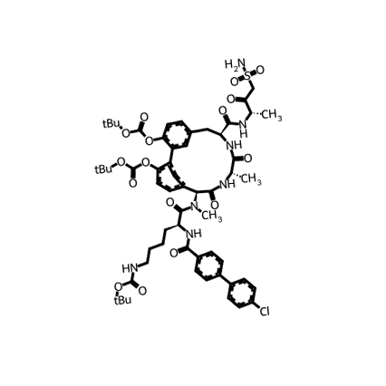 C[C@H](NC(=O)[C@@H]1Cc2ccc(OC(=O)OC(C)(C)C)c(c2)-c2cc(ccc2OC(=O)OC(C)(C)C)[C@H](N(C)C(=O)[C@H](CCCCNC(=O)OC(C)(C)C)NC(=O)c2ccc(-c3ccc(Cl)cc3)cc2)C(=O)N[C@@H](C)C(=O)N1)C(=O)CS(N)(=O)=O